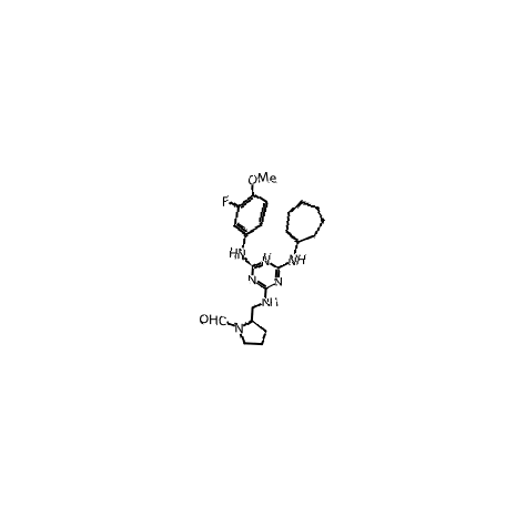 COc1ccc(Nc2nc(NCC3CCCN3C=O)nc(NC3CCCCCC3)n2)cc1F